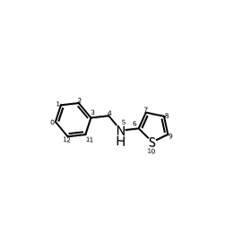 c1ccc(CNc2cccs2)cc1